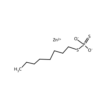 CCCCCCCCSP([O-])([O-])=S.[Zn+2]